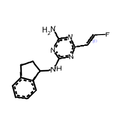 Nc1nc(/C=C/F)nc(NC2CCc3ccccc32)n1